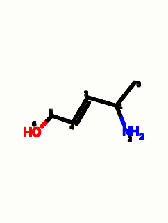 CC(N)C=CCO